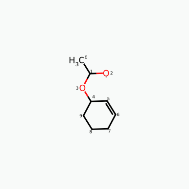 CC([O])OC1C=CCCC1